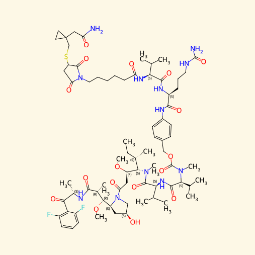 CC[C@H](C)[C@@H]([C@@H](CC(=O)N1C[C@@H](O)C[C@H]1[C@H](OC)[C@@H](C)C(=O)N[C@@H](C)C(=O)c1c(F)cccc1F)OC)N(C)C(=O)[C@@H](NC(=O)[C@H](C(C)C)N(C)C(=O)OCc1ccc(NC(=O)[C@H](CCCNC(N)=O)NC(=O)[C@@H](NC(=O)CCCCCN2C(=O)CC(SCC3(CC(N)=O)CC3)C2=O)C(C)C)cc1)C(C)C